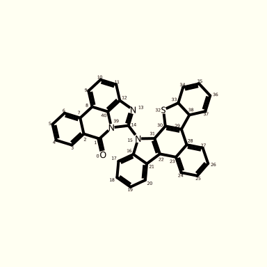 O=c1c2ccccc2c2cccc3nc(-n4c5ccccc5c5c6ccccc6c6c(c54)SC4C=CC=CC64)n1c32